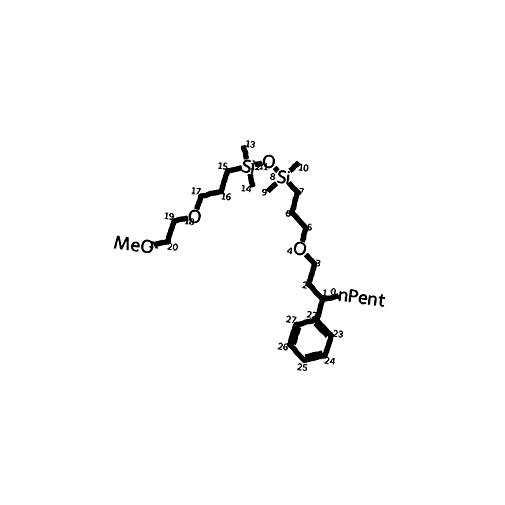 CCCCCC(CCOCCC[Si](C)(C)O[Si](C)(C)CCCOCCOC)c1ccccc1